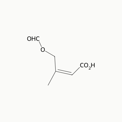 CC(=CC(=O)O)COC=O